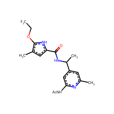 CC(=O)Nc1cc(C(C)NC(=O)c2cc(C)c(OCC(F)(F)F)[nH]2)cc(C)n1